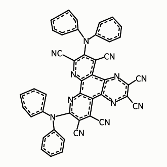 N#Cc1nc2c(nc1C#N)c1c(C#N)c(N(c3ccccc3)c3ccccc3)c(C#N)nc1c1nc(N(c3ccccc3)c3ccccc3)c(C#N)c(C#N)c21